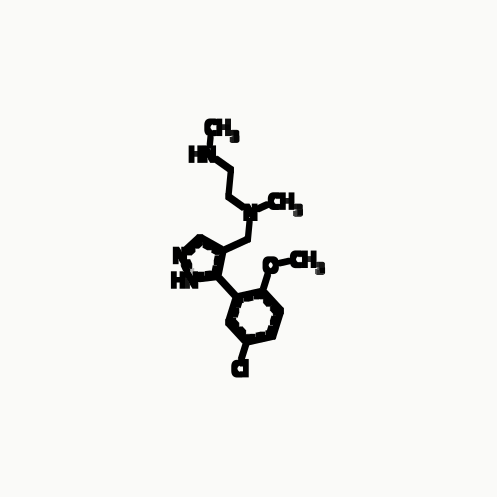 CNCCN(C)Cc1cn[nH]c1-c1cc(Cl)ccc1OC